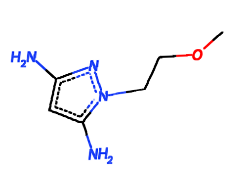 COCCn1nc(N)cc1N